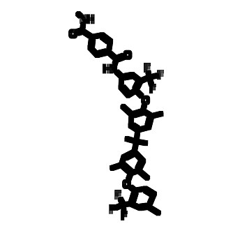 CNC(=O)c1ccc(C(=O)Nc2ccc(Oc3c(C)cc(C(C)(C)c4cc(C)c(Oc5ccc(C)cc5C(F)(F)F)c(C)c4)cc3C)c(C(F)(F)F)c2)cc1